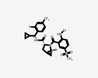 CCNc1ccc(S(C)(=O)=O)cc1C(=O)N1[C@@H]2C=C2C[C@@H]1C(=O)N[C@@H](c1ccc(C(F)(F)F)cc1F)C1CC1